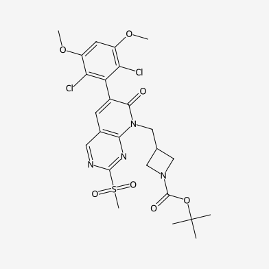 COc1cc(OC)c(Cl)c(-c2cc3cnc(S(C)(=O)=O)nc3n(CC3CN(C(=O)OC(C)(C)C)C3)c2=O)c1Cl